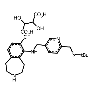 CC(C)(C)SCc1ccc(CNc2c(Cl)ccc3c2CCNCC3)cn1.O=C(O)C(O)C(O)C(=O)O